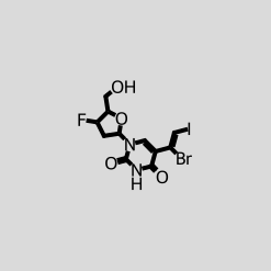 O=c1[nH]c(=O)n(C2CC(F)C(CO)O2)cc1/C(Br)=C/I